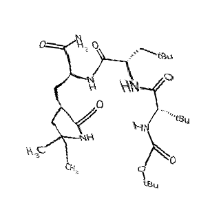 CC(C)(C)C[C@H](NC(=O)[C@@H](NC(=O)OC(C)(C)C)C(C)(C)C)C(=O)N[C@@H](C[C@@H]1CC(C)(C)NC1=O)C(N)=O